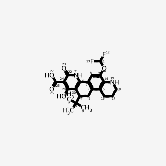 CC(C)(C)C1Cc2c(cc(OC(F)F)c3c2CCCN3)-c2[nH]c(=O)c(C(=O)O)c(O)c21